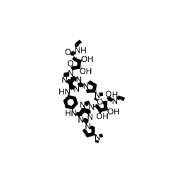 CCNC(=O)[C@H]1O[C@@H](n2cnc3c(N[C@H]4CC[C@H](Nc5nc(N6CC[C@@H](N(C)C)C6)nc6c5ncn6[C@@H]5O[C@H](C(=O)NCC)[C@@H](O)[C@H]5O)CC4)nc(N4CC[C@@H](N(C)C)C4)nc32)[C@H](O)[C@@H]1O